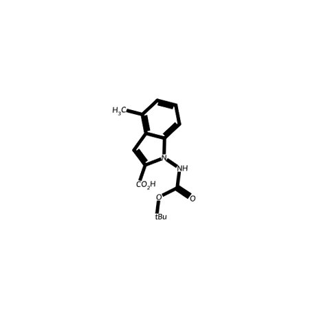 Cc1cccc2c1cc(C(=O)O)n2NC(=O)OC(C)(C)C